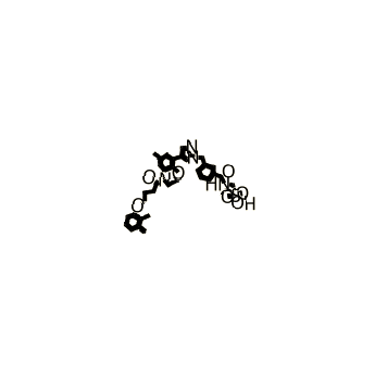 Cc1cc(-c2cnn(Cc3cccc(C(=O)NCS(=O)(=O)O)c3)c2)c2c(c1)N(C(=O)CCCOc1cccc(C)c1C)CCO2